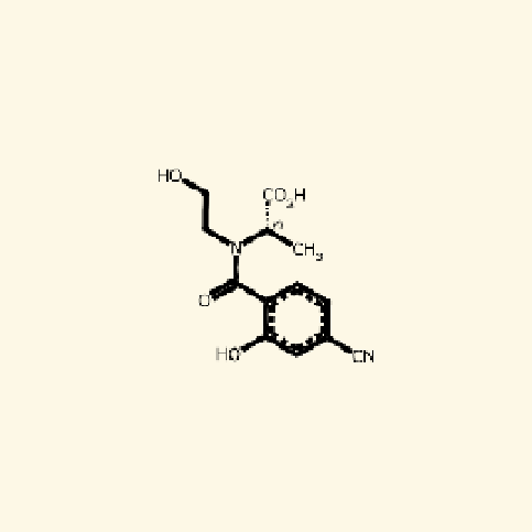 C[C@@H](C(=O)O)N(CCO)C(=O)c1ccc(C#N)cc1O